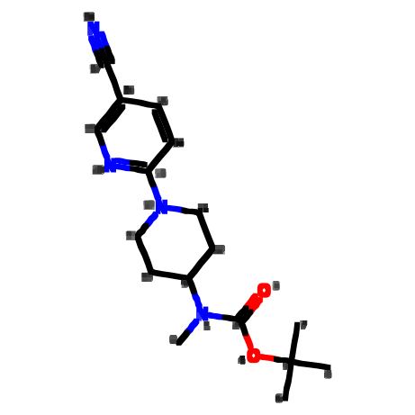 CN(C(=O)OC(C)(C)C)C1CCN(c2ccc(C#N)cn2)CC1